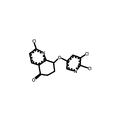 O=C1CCC(Oc2cnc(Cl)c(Cl)c2)c2nc(Cl)ccc21